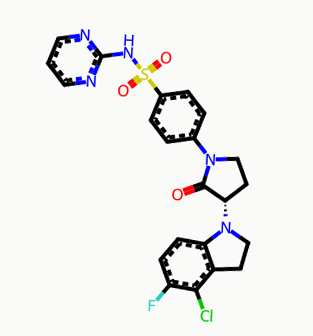 O=C1[C@@H](N2CCc3c2ccc(F)c3Cl)CCN1c1ccc(S(=O)(=O)Nc2ncccn2)cc1